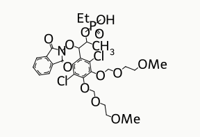 CCP(=O)(O)OC(C)C(ON1C(=O)c2ccccc2C1=O)c1cc(Cl)c(OCOCCOC)c(OCOCCOC)c1Cl